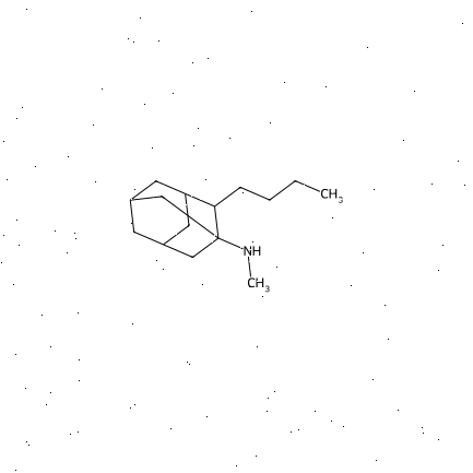 CCCCC1C2CC3CC(C2)CC1(NC)C3